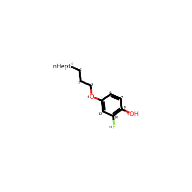 CCCCCCCCCCOc1ccc(O)c(F)c1